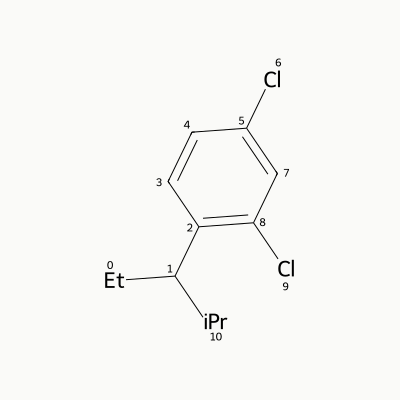 CCC(c1ccc(Cl)cc1Cl)C(C)C